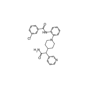 NC(=O)C(c1cccnc1)C1CCN(c2ccccc2NC(=O)c2cccc(Cl)c2)CC1